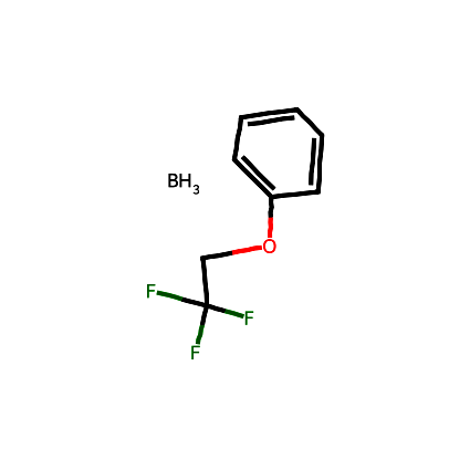 B.FC(F)(F)COc1ccccc1